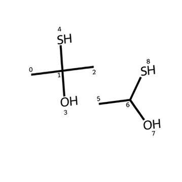 CC(C)(O)S.CC(O)S